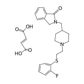 O=C(O)/C=C/C(=O)O.O=C1c2ccccc2CN1CC1CCN(CCSc2ccccc2F)CC1